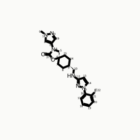 Cn1cc(N2C[C@]3(CC[C@@H](CNc4ccn(-c5ccccc5F)n4)CC3)OC2=O)cn1